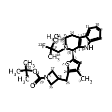 Cc1cc([C@@H]2c3[nH]c4ccccc4c3C[C@@H](C)N2CC(C)(C)F)sc1CC1CN(C(=O)OC(C)(C)C)C1